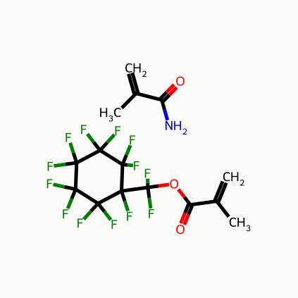 C=C(C)C(=O)OC(F)(F)C1(F)C(F)(F)C(F)(F)C(F)(F)C(F)(F)C1(F)F.C=C(C)C(N)=O